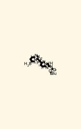 Bc1ccc2nnc(C(F)(F)c3ccc4nc(NC(=O)OC(C)(C)C)cn4n3)n2c1